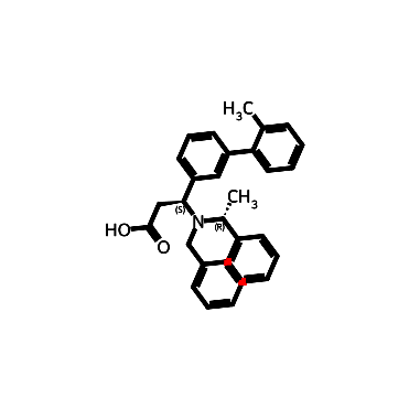 Cc1ccccc1-c1cccc([C@H](CC(=O)O)N(Cc2ccccc2)[C@H](C)c2ccccc2)c1